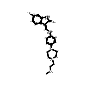 COCCN1CCN(c2ccc(NC=C3C(=O)Nc4cc(F)ccc43)cc2)CC1